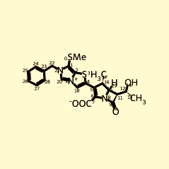 CSc1c2sc(C3=C(C(=O)[O-])N4C(=O)[C@H]([C@@H](C)O)[C@H]4[C@H]3C)c[n+]2cn1Cc1ccccc1